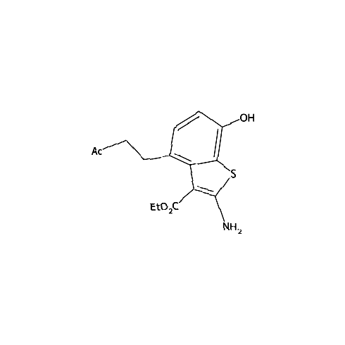 CCOC(=O)c1c(N)sc2c(O)ccc(CCC(C)=O)c12